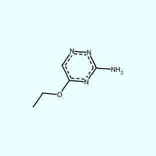 CCOc1cnnc(N)n1